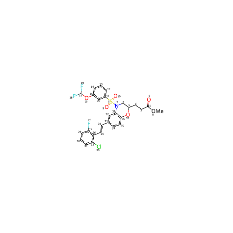 COC(=O)CCC1CN(S(=O)(=O)c2cccc(OC(F)F)c2)c2cc(/C=C/c3c(F)cccc3Cl)ccc2O1